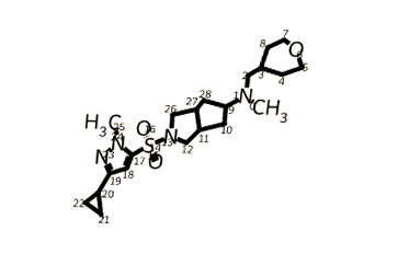 CN(CC1CCOCC1)C1CC2CN(S(=O)(=O)c3cc(C4CC4)nn3C)CC2C1